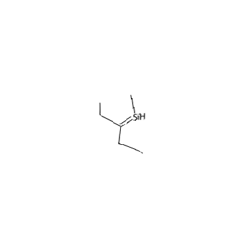 CCC(CC)=[SiH]C